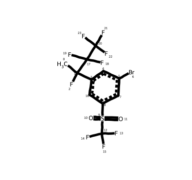 CC(F)(c1cc(Br)[c]c(S(=O)(=O)C(F)(F)F)c1)C(F)(F)C(F)(F)F